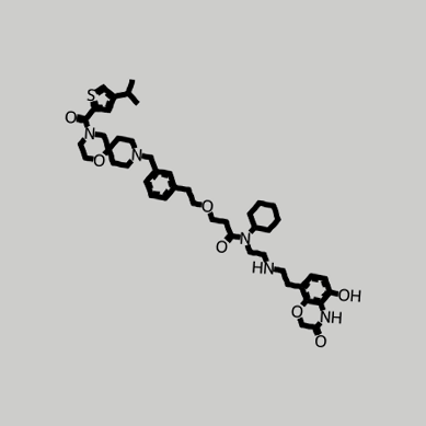 CC(C)c1csc(C(=O)N2CCOC3(CCN(Cc4cccc(CCOCCC(=O)N(CCNCCc5ccc(O)c6c5OCC(=O)N6)C5CCCCC5)c4)CC3)C2)c1